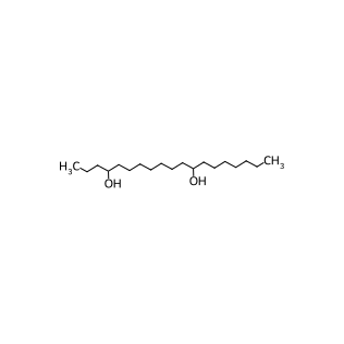 CCCCCCCC(O)CCCCCCCC(O)CCC